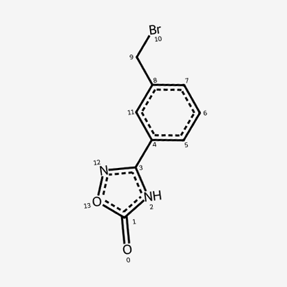 O=c1[nH]c(-c2cccc(CBr)c2)no1